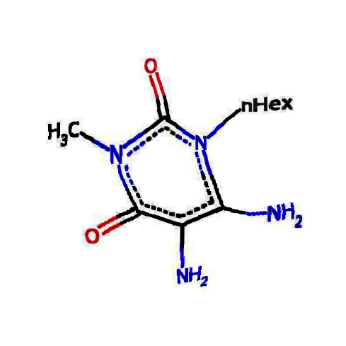 CCCCCCn1c(N)c(N)c(=O)n(C)c1=O